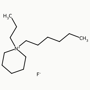 CCCCCC[N+]1(CCC)CCCCC1.[F-]